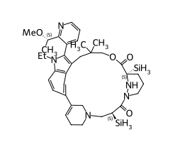 CCn1c(-c2cccnc2[C@H](C)OC)c2c3cc(ccc31)C1=CCCN(C1)C[C@H]([SiH3])C(=O)N1CCC[C@@]([SiH3])(N1)C(=O)OCC(C)(C)C2